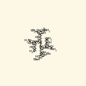 CC(C)(C)CC(O)CN(CC(O)CC(C)(C)C)C(C)(C)CC(O)CN(CCCCCCN(CC(O)CC(C)(C)N(CC(O)CC(C)(C)C)CC(O)CC(C)(C)N)CC(O)CC(C)(C)N(CC(O)CC(C)(C)N)CC(O)CC(C)(C)N)CC(O)CC(C)(C)N(CC(O)CC(C)(C)N)CC(O)CC(C)(C)N